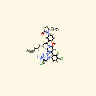 CNCCCCCC(c1cccc(N2C(=O)CCC2C=O)c1)n1cnc(-c2c(N(N)/C=C(\N)Cl)ccc(Cl)c2F)cc1=O